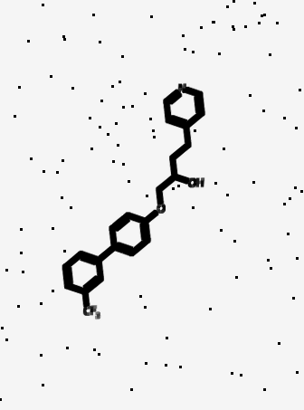 OC(CCc1ccncc1)COc1ccc(-c2cccc(C(F)(F)F)c2)cc1